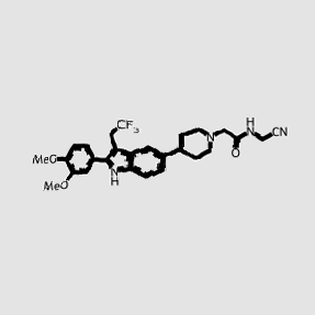 COc1ccc(-c2[nH]c3ccc(C4CCN(CC(=O)NCC#N)CC4)cc3c2CC(F)(F)F)cc1OC